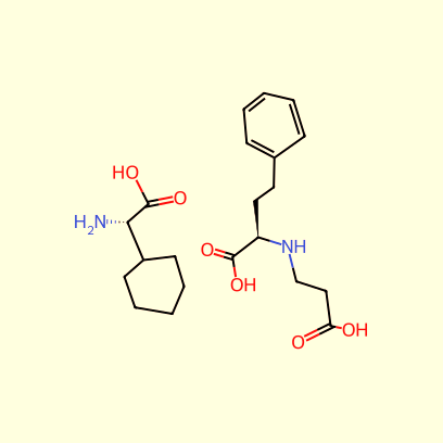 N[C@H](C(=O)O)C1CCCCC1.O=C(O)CCN[C@H](CCc1ccccc1)C(=O)O